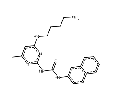 Cc1cc(NCCCCN)nc(NC(=O)Nc2ccc3ccccc3c2)n1